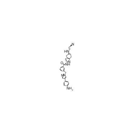 N#CCCN[C@H]1CCc2nc(NC(=O)c3cccc(Cn4cc(-c5ccc(N)cc5)cn4)c3)sc2C1